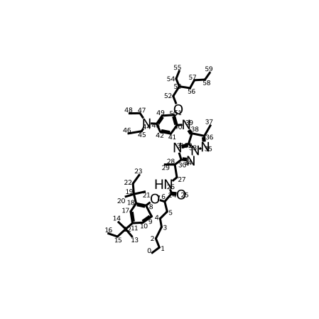 CCCCCCC(Oc1ccc(C(C)(C)CC)cc1C(C)(C)CC)C(=O)NCC(C)c1nc2n(n1)N=C(C)/C2=N/c1ccc(N(CC)CC)cc1OCC(CC)CCCC